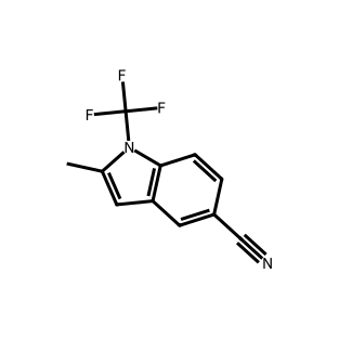 Cc1cc2cc(C#N)ccc2n1C(F)(F)F